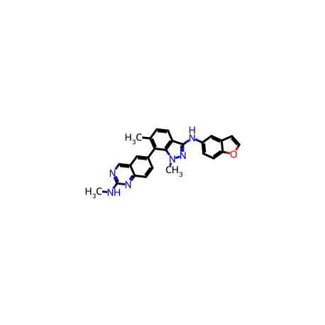 CNc1ncc2cc(-c3c(C)ccc4c(Nc5ccc6occc6c5)nn(C)c34)ccc2n1